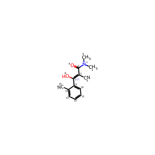 CN(C)C(=O)/C(C#N)=C(\O)c1ccccc1C#N